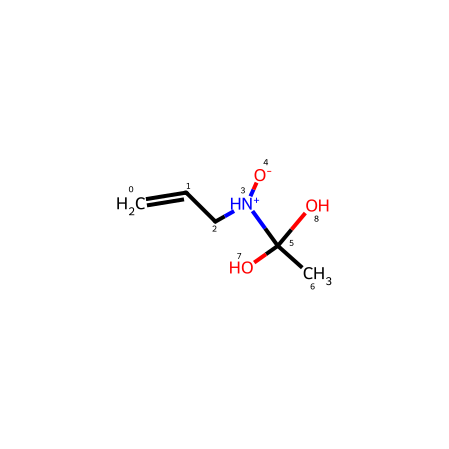 C=CC[NH+]([O-])C(C)(O)O